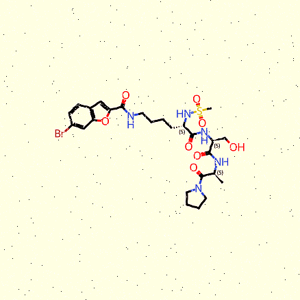 C[C@H](NC(=O)[C@H](CO)NC(=O)[C@H](CCCCNC(=O)c1cc2ccc(Br)cc2o1)NS(C)(=O)=O)C(=O)N1CCCC1